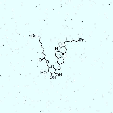 CCCCCCCCCCCCCCCCCC(=O)OCC1O[C@@H](O[C@H]2CC[C@@]3(C)C(=CC[C@H]4[C@@H]5CC[C@H]([C@H](C)CCCC(C)C)[C@@]5(C)CC[C@@H]43)C2)C(O)C(O)[C@@H]1O